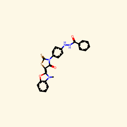 CN1C(=C2SC(=S)N(c3ccc(NNC(=O)c4ccccc4)cc3)C2=O)Oc2ccccc21